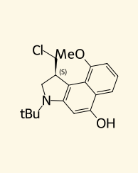 COc1cccc2c(O)cc3c(c12)[C@H](CCl)CN3C(C)(C)C